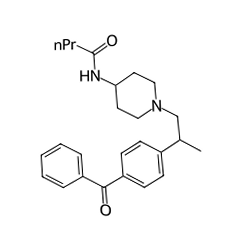 CCCC(=O)NC1CCN(CC(C)c2ccc(C(=O)c3ccccc3)cc2)CC1